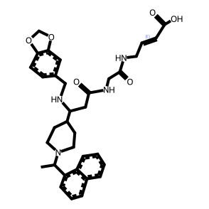 CC(c1cccc2ccccc12)N1CCC(C(CC(=O)NCC(=O)NC/C=C/C(=O)O)NCc2ccc3c(c2)OCO3)CC1